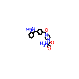 NC1(C(=O)N2CCN(C(=O)c3ccc(-c4n[nH]c5ccccc45)cc3)CC2)COC1